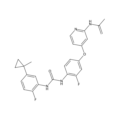 C=C(C)Nc1cc(Oc2ccc(NC(=O)Nc3cc(C4(C)CC4)ccc3F)c(F)c2)ccn1